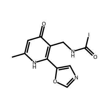 Cc1cc(=O)c(CNC(=O)I)c(-c2cnco2)[nH]1